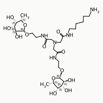 C[C@@H]1O[C@@H](OCCNC(=O)CN(CC(=O)NCCCCCCN)CC(=O)NCCO[C@@H]2O[C@@H](C)[C@@H](O)[C@@H](O)[C@@H]2O)[C@@H](O)[C@H](O)[C@@H]1O